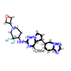 COc1nc(NC2CCN(C3COC3)CC2(F)F)nn2ccc(-c3ccc4ncnn4c3)c12